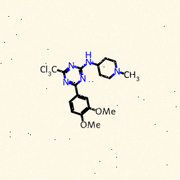 COc1ccc(-c2nc(NC3CCN(C)CC3)nc(C(Cl)(Cl)Cl)n2)cc1OC